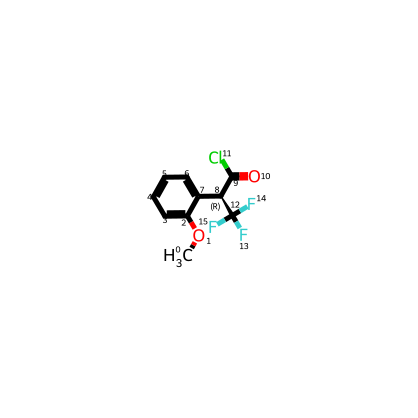 COc1ccccc1[C@@H](C(=O)Cl)C(F)(F)F